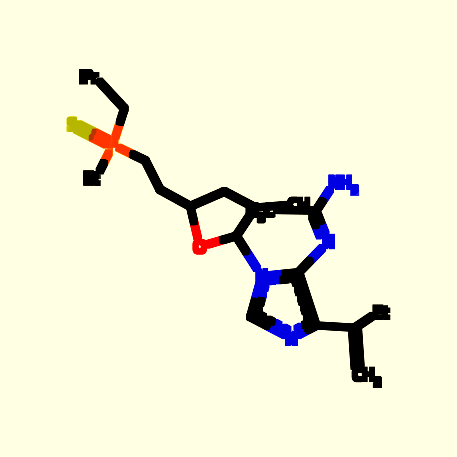 C=C(CC)c1ncn(C2OC(CCP(=S)(CC)CC(C)C)CC2C)c1/N=C(\C)N